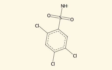 [NH]S(=O)(=O)c1cc(Cl)c(Cl)cc1Cl